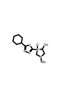 CCCCN1CC(O)[N+]([O-])(c2nnc(C3CCCCC3)s2)C1